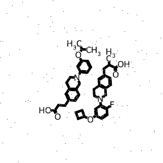 CC(C)Oc1cccc(N2CCc3cc(CCC(=O)O)ccc3C2)c1.CC(Cc1ccc2c(c1)CCN(c1cc(OC3CCC3)ccc1F)C2)C(=O)O